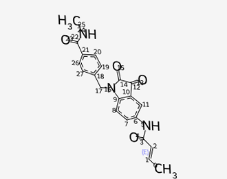 C/C=C/C(=O)Nc1ccc2c(c1)C(=O)C(=O)N2Cc1ccc(C(=O)NC)cc1